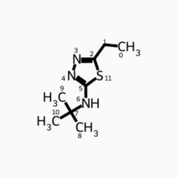 CCc1nnc(NC(C)(C)C)s1